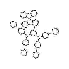 c1ccc(-c2ccc(N(c3ccc(-c4ccccc4)cc3)c3cc(-c4cccc5c4-c4ccccc4C54c5ccccc5-c5ccccc54)cc(N(c4ccc(-c5ccccc5)cc4)c4ccc(-c5ccccc5)cc4)c3)cc2)cc1